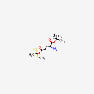 CSC(C)(S)OC(=O)CCC(N)C(=O)OC(C)(C)C